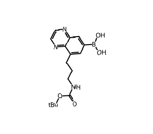 CC(C)(C)OC(=O)NCCCc1cc(B(O)O)cc2nccnc12